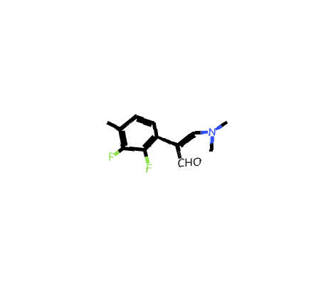 Cc1ccc(C(C=O)=CN(C)C)c(F)c1F